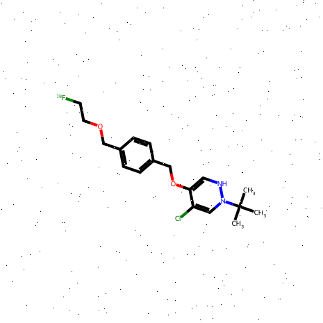 CC(C)(C)N1C=C(Cl)C(OCc2ccc(COCC[18F])cc2)=CN1